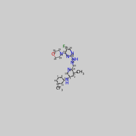 Cc1cc(Nc2cccc(C(F)(F)F)c2)cnc1/C=N/Nc1ncc(F)c(N2CCOCC2)n1